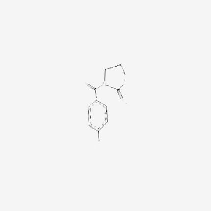 O=C1OCCN1C(=O)c1ccc(Cl)cc1